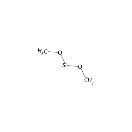 CO[Si]OC